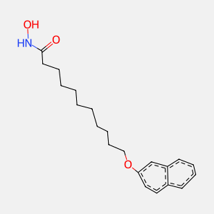 O=C(CCCCCCCCCCOc1ccc2ccccc2c1)NO